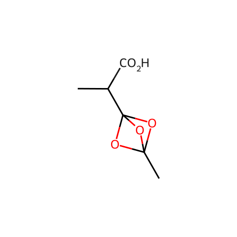 CC(C(=O)O)C12OC(C)(O1)O2